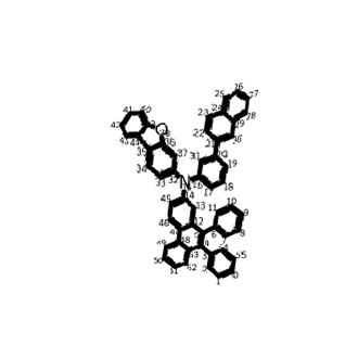 c1ccc(-c2c(-c3ccccc3)c3cc(N(c4cccc(-c5ccc6ccccc6c5)c4)c4ccc5c(c4)oc4ccccc45)ccc3c3ccccc23)cc1